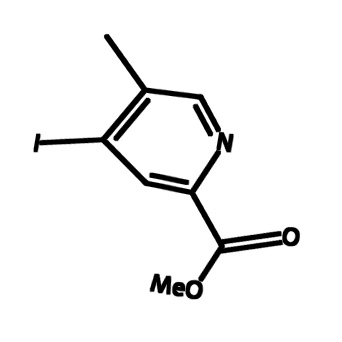 COC(=O)c1cc(I)c(C)cn1